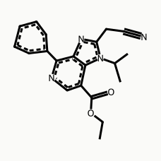 CCOC(=O)c1cnc(-c2ccccc2)c2nc(CC#N)n(C(C)C)c12